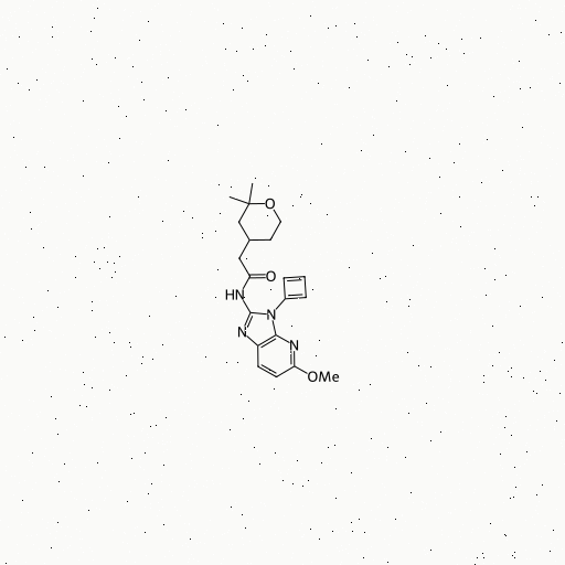 COc1ccc2nc(NC(=O)CC3CCOC(C)(C)C3)n(C3=CC=C3)c2n1